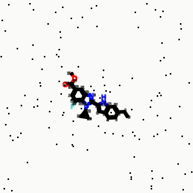 CCc1ccc2cc(-c3nc4cc(C(=O)OC)cc(F)c4n3C3CC3)[nH]c2c1